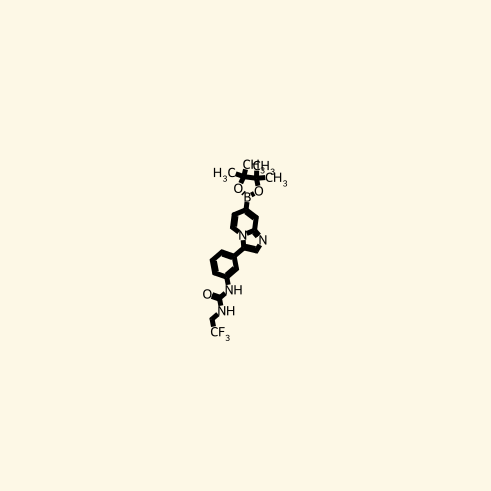 CC1(C)OB(c2ccn3c(-c4cccc(NC(=O)NCC(F)(F)F)c4)cnc3c2)OC1(C)C